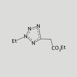 CCOC(=O)Cc1nnn(CC)n1